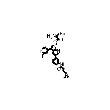 CCC(C)C(N)C(=O)OCn1cc(-c2ccnc(F)c2)c2cc(-c3cccc(NC(=O)/C=C/CN(C)C)c3)cnc21